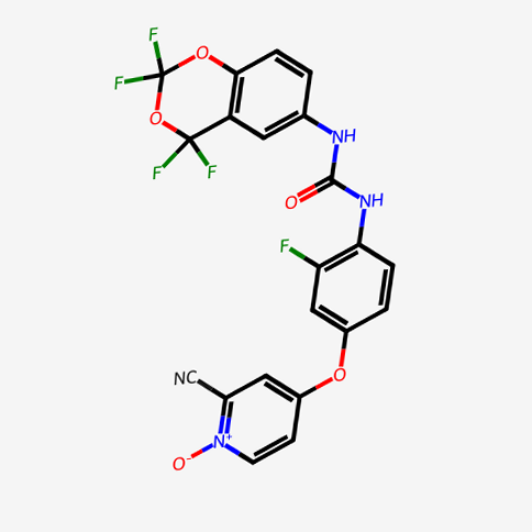 N#Cc1cc(Oc2ccc(NC(=O)Nc3ccc4c(c3)C(F)(F)OC(F)(F)O4)c(F)c2)cc[n+]1[O-]